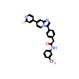 O=C(Cc1ccc(-c2cnc3cc(-c4ccnc(F)c4)ccn23)cc1)Nc1cccc(C(F)(F)F)c1